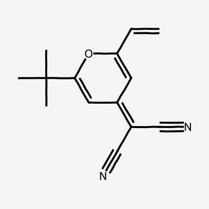 C=CC1=CC(=C(C#N)C#N)C=C(C(C)(C)C)O1